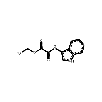 CCOC(=O)C(=O)Nc1c[nH]c2cnccc12